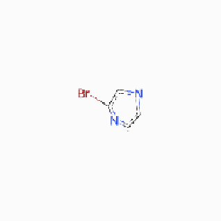 Brc1cnc[c]n1